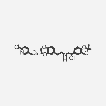 CC1(C)OCc2cc([C@@H](O)CNCCc3ccc4c(c3)O[C@H](COCc3ccc(Cl)nc3)CO4)ccc2O1